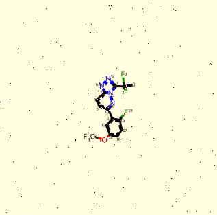 CC(F)(F)c1nnc2ccc(-c3cc(OC(F)(F)F)ccc3F)nn12